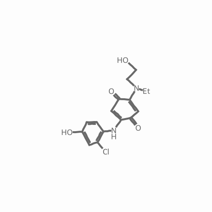 CCN(CCO)C1=CC(=O)C(Nc2ccc(O)cc2Cl)=CC1=O